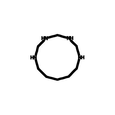 C1CCNCNCNCNCC1